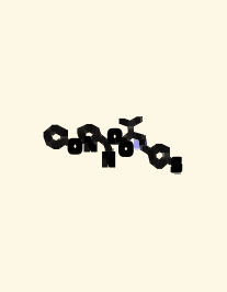 CSc1ccc(/C=C/C(C(=O)OC(C#N)c2cccc(Oc3ccccc3)n2)C(C)C)cc1